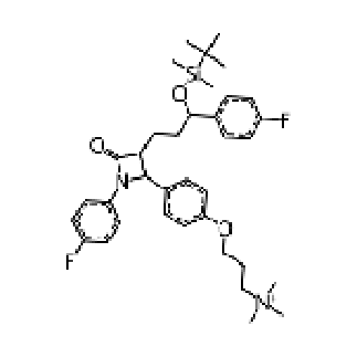 CC(C)(C)[Si](C)(C)OC(CCC1C(=O)N(c2ccc(F)cc2)C1c1ccc(OCCC[N+](C)(C)C)cc1)c1ccc(F)cc1